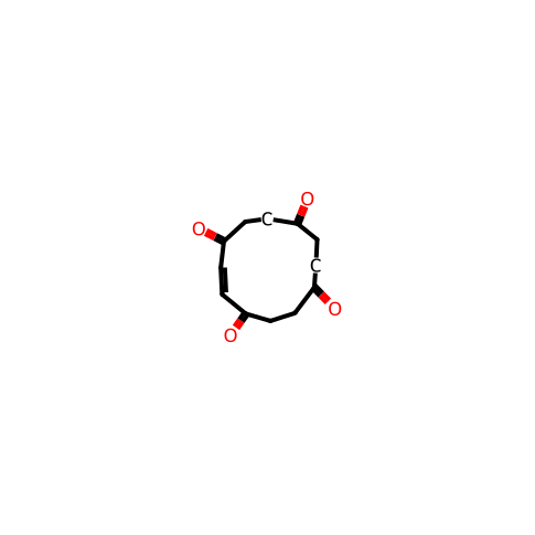 O=C1C=CC(=O)CCC(=O)CCC(=O)CC1